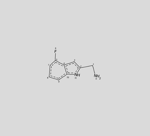 NCc1cc2c(F)cccc2[nH]1